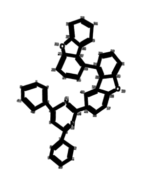 c1ccc(-c2cc(-c3ccccc3)nc(-c3ccc4oc5cccc(-c6cccc7oc8ccccc8c67)c5c4c3)n2)cc1